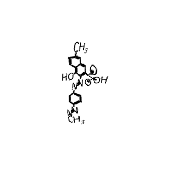 CN=Nc1ccc(N=Nc2c(S(=O)(=O)O)cc3cc(C)ccc3c2O)cc1